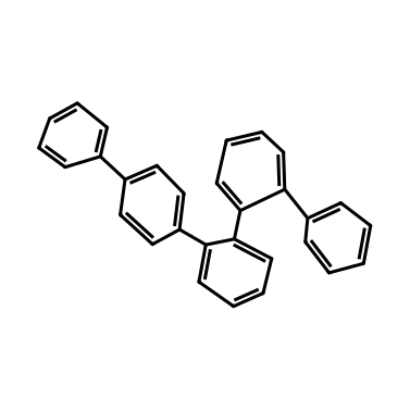 c1ccc(-c2ccc(-c3ccccc3-c3ccccc3-c3ccccc3)cc2)cc1